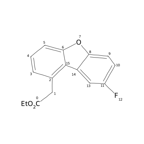 CCOC(=O)Cc1cccc2oc3ccc(F)cc3c12